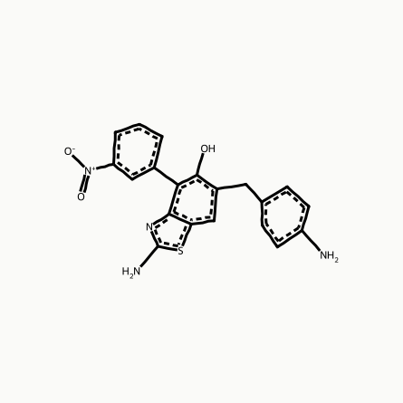 Nc1ccc(Cc2cc3sc(N)nc3c(-c3cccc([N+](=O)[O-])c3)c2O)cc1